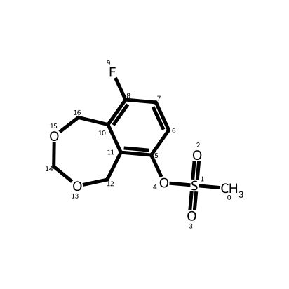 CS(=O)(=O)Oc1ccc(F)c2c1COCOC2